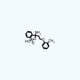 Cc1ccccc1OCCC(N)(OS(=O)(=O)O)c1ccccc1